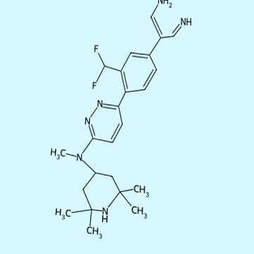 CN(c1ccc(-c2ccc(/C(C=N)=C/N)cc2C(F)F)nn1)C1CC(C)(C)NC(C)(C)C1